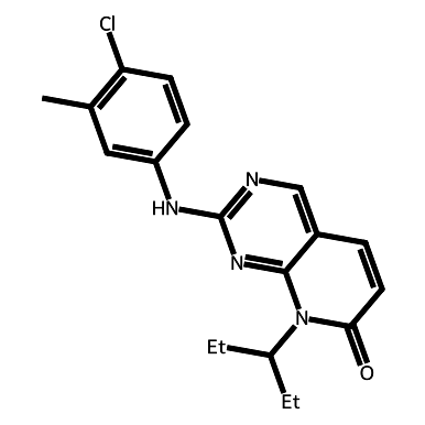 CCC(CC)n1c(=O)ccc2cnc(Nc3ccc(Cl)c(C)c3)nc21